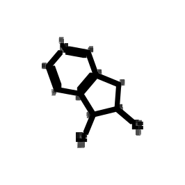 CCC1Cc2cnccc2C1CC